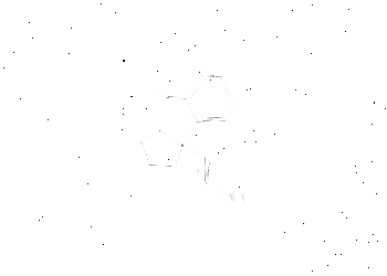 CC(C)/C=C/C1(c2ccccc2F)CCCC1